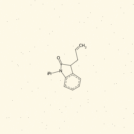 C=CCC1C(=O)N(C(C)C)c2ccccc21